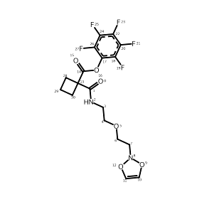 O=C(NCCOCCN1OC=CO1)C1(C(=O)Oc2c(F)c(F)c(F)c(F)c2F)CCC1